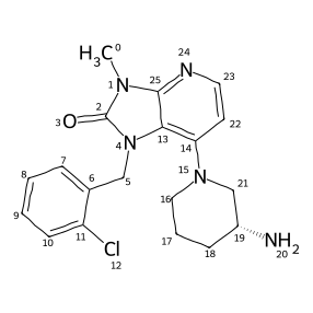 Cn1c(=O)n(Cc2ccccc2Cl)c2c(N3CCC[C@@H](N)C3)ccnc21